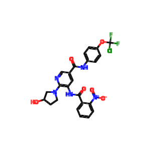 O=C(Nc1ccc(OC(F)(F)Cl)cc1)c1cnc(N2CCC(O)C2)c(NC(=O)c2ccccc2[N+](=O)[O-])c1